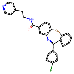 O=C(NCCc1ccncc1)c1ccc2c(c1)N=C(c1ccc(F)cc1)c1ccccc1S2